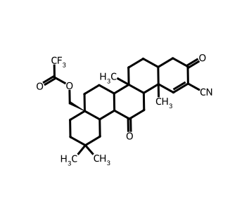 CC1(C)CC[C@]2(COC(=O)C(F)(F)F)CCC3C(C(=O)CC4C5(C)C=C(C#N)C(=O)CC5CCC34C)C2C1